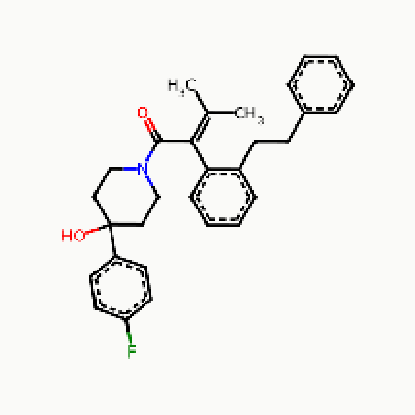 CC(C)=C(C(=O)N1CCC(O)(c2ccc(F)cc2)CC1)c1ccccc1CCc1ccccc1